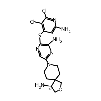 Nc1cc(Sc2ncc(N3CCC4(CC3)COC[C@H]4N)nc2N)c(Cl)c(Cl)n1